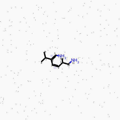 CC(/C=C\C(=C/N)C(C)C)CN